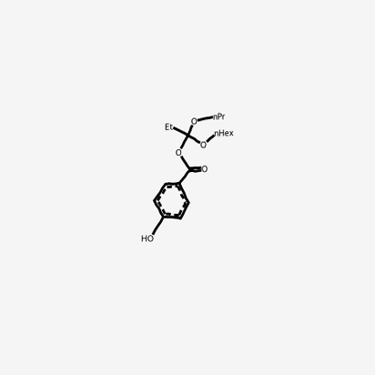 CCCCCCOC(CC)(OCCC)OC(=O)c1ccc(O)cc1